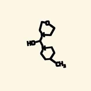 CC1CCN(C(O)N2CCOCC2)CC1